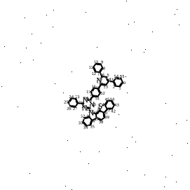 c1ccc(-c2cc(-c3ccccc3)nc(-c3ccc(-c4nc(-c5ccccc5)nc(-n5c6ccccc6c6ccc7c8ccccc8sc7c65)n4)cc3)c2)cc1